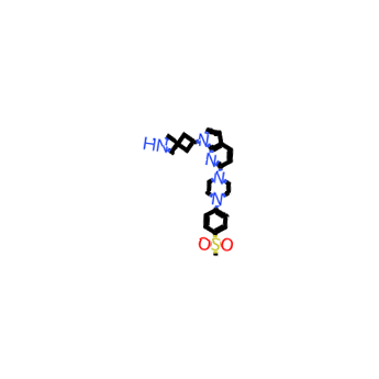 CS(=O)(=O)c1ccc(N2CCN(c3ccc4ccn(C5CC6(CNC6)C5)c4n3)CC2)cc1